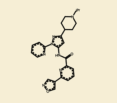 CC(C)N1CCC(c2cc(NC(=O)c3cccc(-c4cnoc4)n3)n(-c3ccccn3)n2)CC1